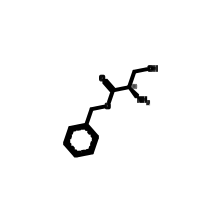 N[C@H](CO)C(=O)OCc1ccccc1